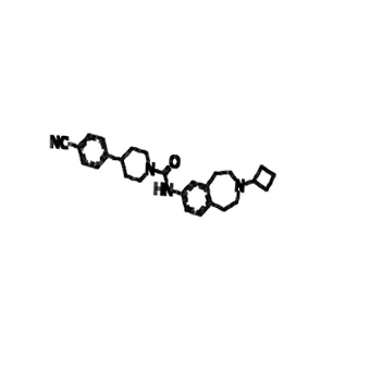 N#Cc1ccc(C2CCN(C(=O)Nc3ccc4c(c3)CCN(C3CCC3)CC4)CC2)cc1